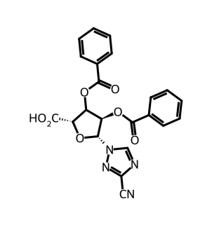 N#Cc1ncn([C@@H]2O[C@H](C(=O)O)C(OC(=O)c3ccccc3)[C@H]2OC(=O)c2ccccc2)n1